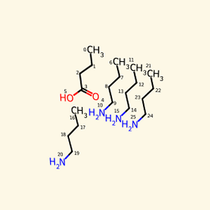 CCCC(=O)O.CCCCN.CCCCN.CCCCN.CCCCN